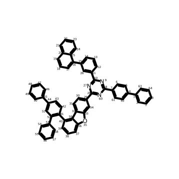 c1ccc(-c2ccc(-c3nc(-c4cccc(-c5cccc6ccccc56)c4)nc(-c4ccc5c(c4)oc4cccc(-c6ccc(-c7ccccc7)cc6-c6ccccc6)c45)n3)cc2)cc1